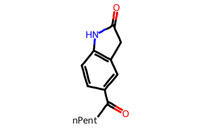 CCCCCC(=O)c1ccc2c(c1)CC(=O)N2